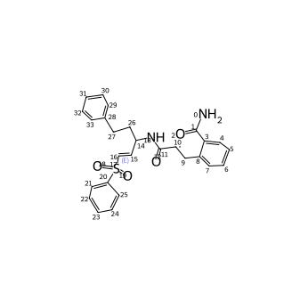 NC(=O)c1ccccc1C[CH]C(=O)NC(/C=C/S(=O)(=O)c1ccccc1)CCc1ccccc1